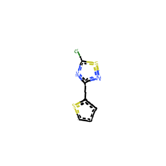 Clc1nc(-c2cc[c]s2)ns1